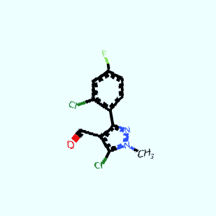 Cn1nc(-c2ccc(F)cc2Cl)c(C=O)c1Cl